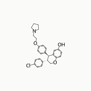 Oc1ccc2c(c1)[C@H](c1ccc(OCCN3CCCC3)cc1)[C@@H](c1ccc(Cl)cc1)CO2